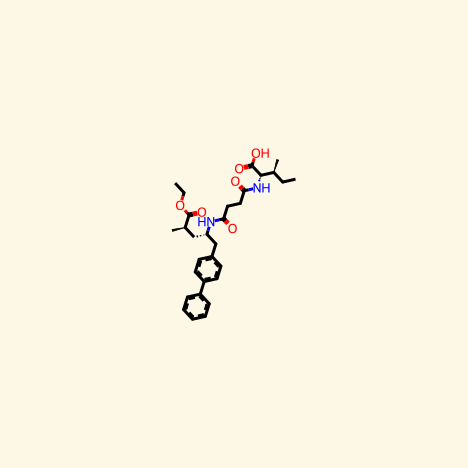 CCOC(=O)[C@H](C)C[C@@H](Cc1ccc(-c2ccccc2)cc1)NC(=O)CCC(=O)N[C@H](C(=O)O)[C@@H](C)CC